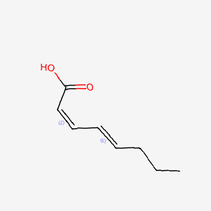 CCC/C=C/C=C\C(=O)O